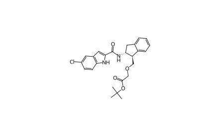 CC(C)(C)OC(=O)COC[C@@H]1c2ccccc2C[C@H]1NC(=O)c1cc2cc(Cl)ccc2[nH]1